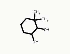 CC(C)C1CCCC(C)(C)C1O